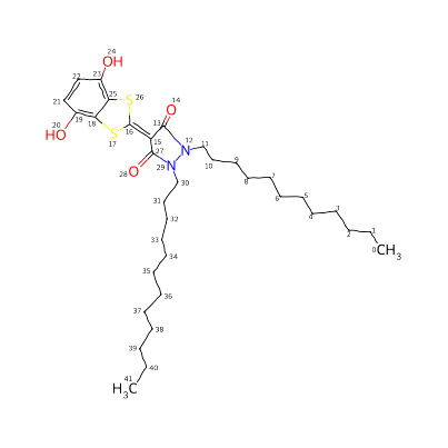 CCCCCCCCCCCCN1C(=O)C(=C2Sc3c(O)ccc(O)c3S2)C(=O)N1CCCCCCCCCCCC